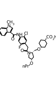 CCCO[C@H]1C[C@@H](CO[C@H]2CC[C@H](C(=O)O)CC2)N(C(=O)Cc2cc(Cl)c(NC(=O)c3cn(C)c4ccccc34)cc2F)C1